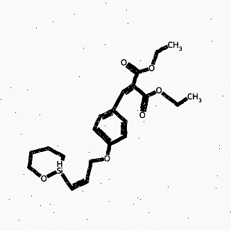 CCOC(=O)C(=Cc1ccc(OC/C=C\[SiH]2CCCCO2)cc1)C(=O)OCC